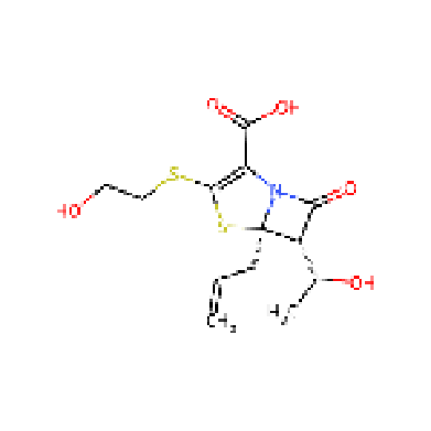 C=CC[C@]12SC(SCCO)=C(C(=O)O)N1C(=O)[C@@H]2C(C)O